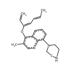 C=CC(=CC=CC)Oc1c(C)cnc2c(N3CCNCC3)cccc12